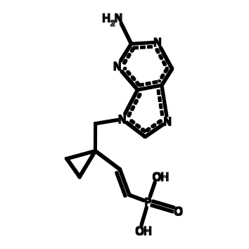 Nc1ncc2ncn(CC3(C=CP(=O)(O)O)CC3)c2n1